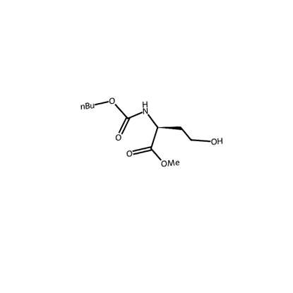 CCCCOC(=O)N[C@@H](CCO)C(=O)OC